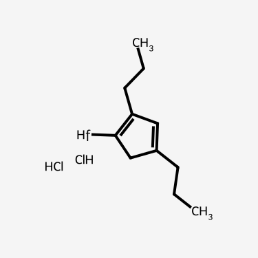 CCCC1=CC(CCC)=[C]([Hf])C1.Cl.Cl